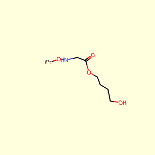 CC(C)ONCC(=O)OCCCCO